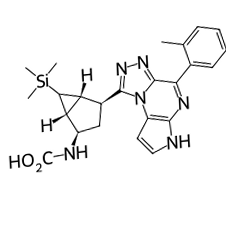 Cc1ccccc1-c1nc2[nH]ccc2n2c([C@H]3C[C@@H](NC(=O)O)[C@@H]4C([Si](C)(C)C)[C@@H]43)nnc12